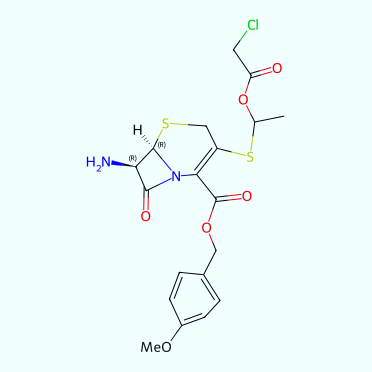 COc1ccc(COC(=O)C2=C(SC(C)OC(=O)CCl)CS[C@@H]3[C@H](N)C(=O)N23)cc1